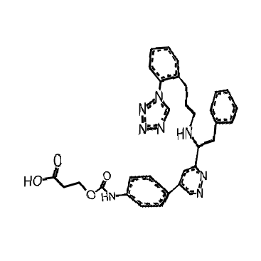 O=C(O)CCOC(=O)Nc1ccc(-c2cnnc(C(Cc3ccccc3)NCCCc3ccccc3-n3cnnn3)c2)cc1